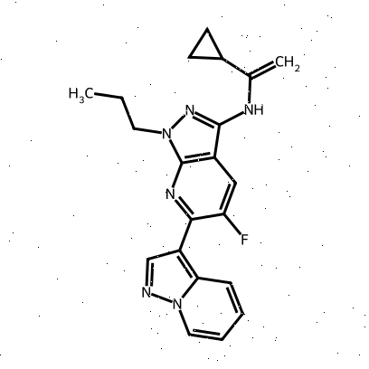 C=C(Nc1nn(CCC)c2nc(-c3cnn4ccccc34)c(F)cc12)C1CC1